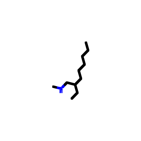 CCCCCCC(CC)CNC